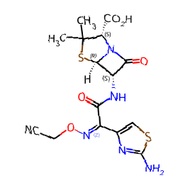 CC1(C)S[C@@H]2[C@@H](NC(=O)/C(=N\OCC#N)c3csc(N)n3)C(=O)N2[C@H]1C(=O)O